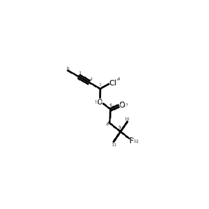 CC#CC(Cl)OC(=O)CC(C)(C)F